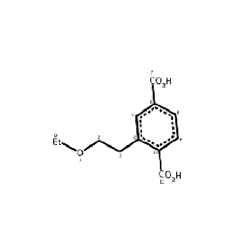 CCOCCc1cc(C(=O)O)ccc1C(=O)O